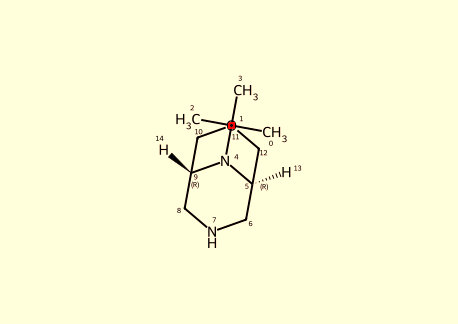 CC(C)(C)N1[C@@H]2CNC[C@@H]1COC2